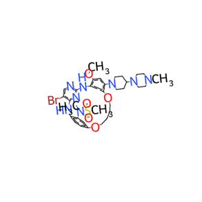 COc1cc(N2CCC(N3CCN(C)CC3)CC2)c2cc1Nc1ncc(Br)c(n1)Nc1ccc(cc1N(C)S(C)(=O)=O)OCCCCO2